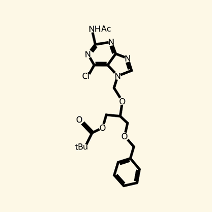 CC(=O)Nc1nc(Cl)c2c(ncn2COC(COCc2ccccc2)COC(=O)C(C)(C)C)n1